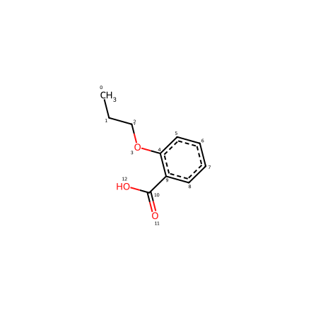 CC[CH]Oc1ccccc1C(=O)O